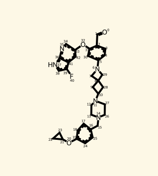 O=Cc1ccc(N2CC3(CC(N4CCN(Cc5ccc(OC6CC6)cc5)CC4)C3)C2)cc1Oc1cnc2[nH]cc(F)c2c1